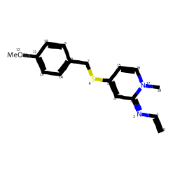 C=C/N=c1/cc(SCc2ccc(OC)cc2)ccn1C